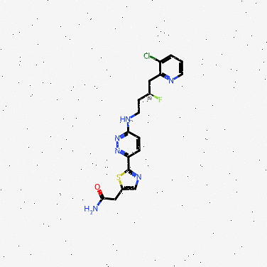 NC(=O)Cc1cnc(-c2ccc(NCC[C@H](F)Cc3ncccc3Cl)nn2)s1